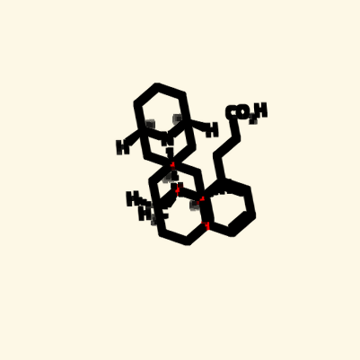 CN(c1ccccc1CCC(=O)O)[C@H]1C[C@H]2CCC[C@@H](C1)N2[C@H]1C[C@@H]2CCC[C@@H](C2)C1